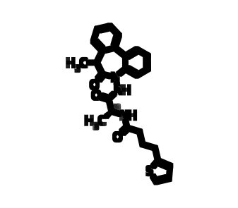 CC1C(=O)N(NC(=O)[C@H](C)NC(=O)CCCc2cccs2)c2ccccc2-c2ccccc21